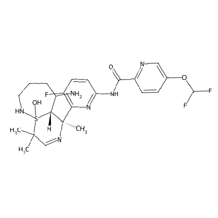 CC1(C)C=N[C@](C)(c2nc(NC(=O)c3ccc(OC(F)F)cn3)ccc2F)[C@H]2C(N)CCCNS21O